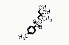 Cc1ccc(S(=O)(=O)OCC(C)(O)CO)cc1